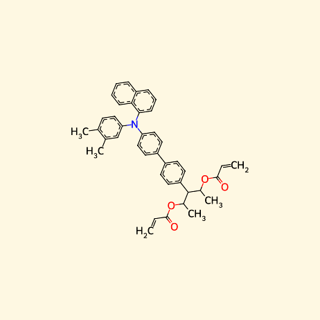 C=CC(=O)OC(C)C(c1ccc(-c2ccc(N(c3ccc(C)c(C)c3)c3cccc4ccccc34)cc2)cc1)C(C)OC(=O)C=C